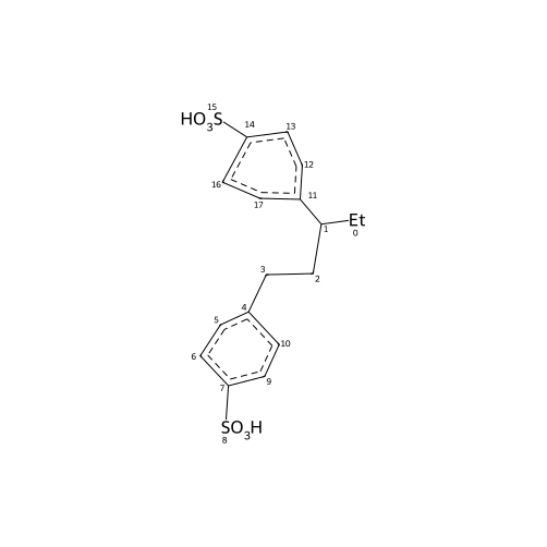 CCC(CCc1ccc(S(=O)(=O)O)cc1)c1ccc(S(=O)(=O)O)cc1